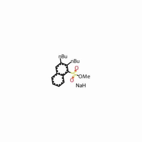 CCCCc1cc2ccccc2c(S(=O)(=O)OC)c1CCCC.[NaH]